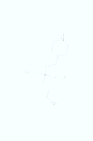 CCOC(=O)C(CCCN)(OCC1CCNCC1)C(=O)OCC